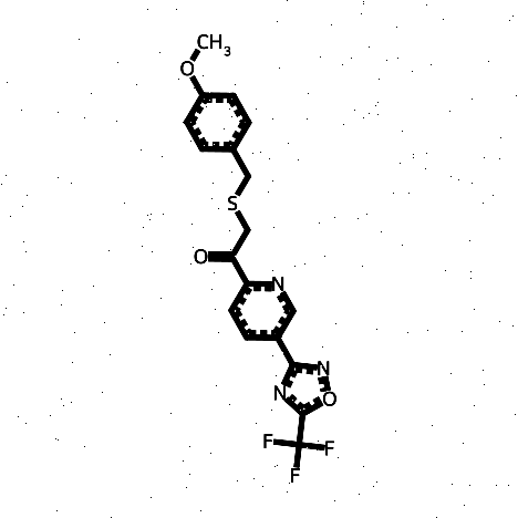 COc1ccc(CSCC(=O)c2ccc(-c3noc(C(F)(F)F)n3)cn2)cc1